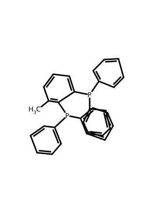 Cc1cccc(P(c2ccccc2)c2ccccc2)c1P(c1ccccc1)c1ccccc1